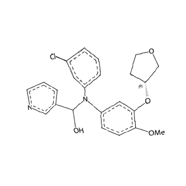 COc1ccc(N(c2cccc(Cl)c2)C(O)c2cccnc2)cc1O[C@@H]1CCOC1